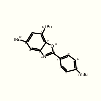 CCCCc1ccc(-c2nc3cc(C(C)(C)C)cc(C(C)(C)C)c3o2)cc1